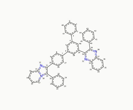 c1ccc(-c2cc(-c3ccc(-c4nc5ccccn5c4-c4ccccc4)cc3)cc(-c3nc4ccccc4nc3-c3ccccc3)c2)cc1